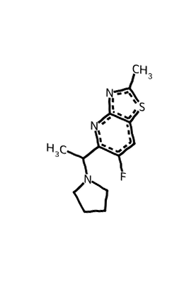 Cc1nc2nc(C(C)N3CCCC3)c(F)cc2s1